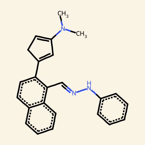 CN(C)C1=CCC(c2ccc3ccccc3c2C=NNc2ccccc2)=C1